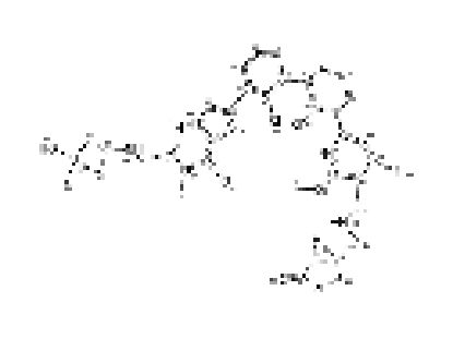 COc1nc(-c2cccc(-c3cccc(-c4cc5c(=O)n(C)c(CNC6CC(C)(O)C6)nn5c4)c3Cl)c2Cl)cc(F)c1CNC[C@@H]1CCC(=O)N1